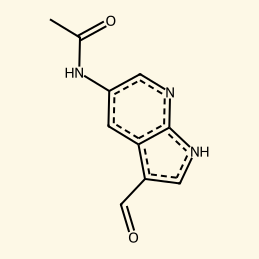 CC(=O)Nc1cnc2[nH]cc(C=O)c2c1